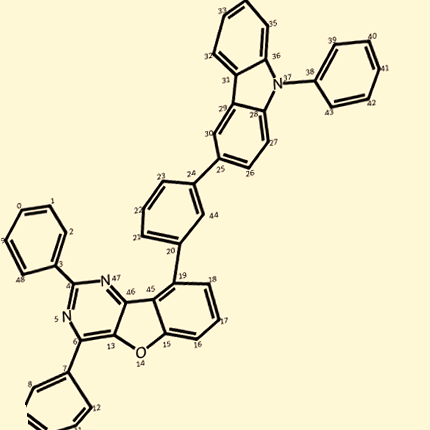 c1ccc(-c2nc(-c3ccccc3)c3oc4cccc(-c5cccc(-c6ccc7c(c6)c6ccccc6n7-c6ccccc6)c5)c4c3n2)cc1